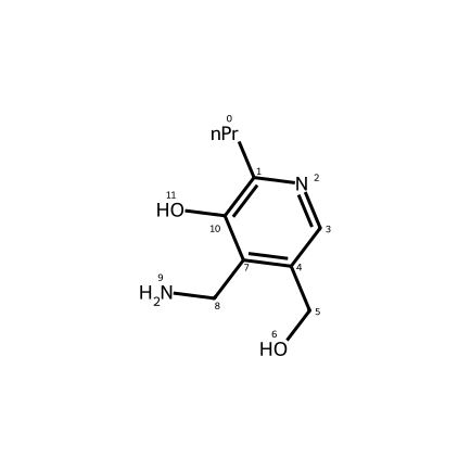 CCCc1ncc(CO)c(CN)c1O